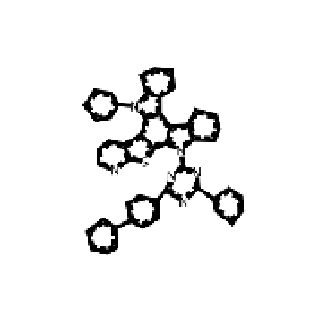 c1ccc(-c2ccc(-c3nc(-c4ccccc4)nc(-n4c5ccccc5c5c6c7ccccc7n(-c7ccccc7)c6c6c7cccnc7sc6c54)n3)cc2)cc1